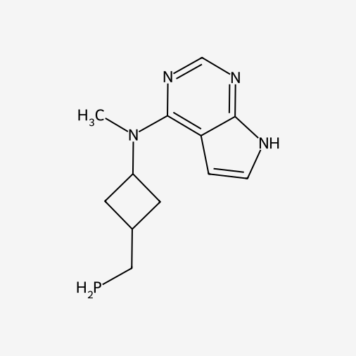 CN(c1ncnc2[nH]ccc12)C1CC(CP)C1